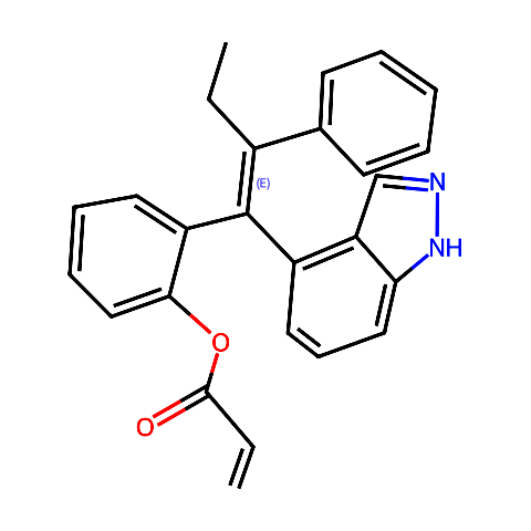 C=CC(=O)Oc1ccccc1/C(=C(\CC)c1ccccc1)c1cccc2[nH]ncc12